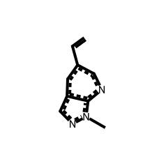 C=Cc1cnc2c(cnn2C)c1